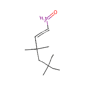 CC(C)(C)CC(C)(C)C=C[PH2]=O